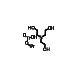 CC(C)[O][Ti](=[O])[OH].OCCN(CCO)CCO